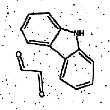 O=CC=O.c1ccc2c(c1)[nH]c1ccccc12